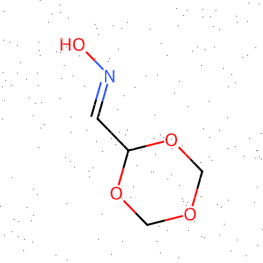 ON=CC1OCOCO1